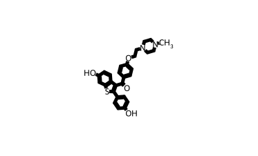 CN1CCN(CCOc2ccc(C(=O)c3c(-c4ccc(O)cc4)sc4cc(O)ccc34)cc2)CC1